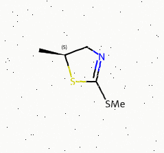 CSC1=NC[C@H](C)S1